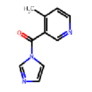 Cc1ccncc1C(=O)n1ccnc1